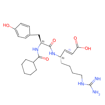 N=C(N)NCCCC[C@@H](/C=C/C(=O)O)NC(=O)[C@H](Cc1ccc(O)cc1)NC(=O)C1CCCCC1